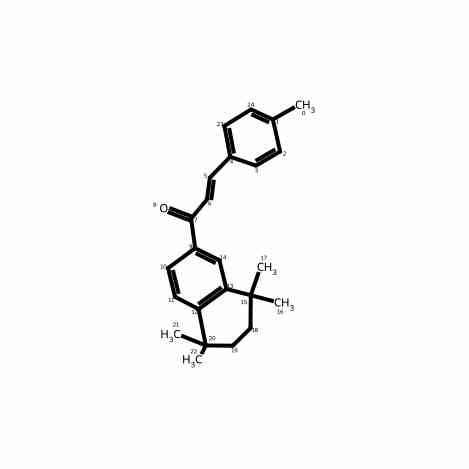 Cc1ccc(C=CC(=O)c2ccc3c(c2)C(C)(C)CCC3(C)C)cc1